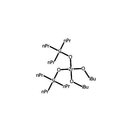 CCC[Si](CCC)(CCC)[O][Zr]([O]C(C)CC)([O]C(C)CC)[O][Si](CCC)(CCC)CCC